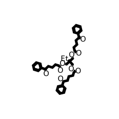 CCC(COC(=O)CCCC(=O)c1ccccc1)(COC(=O)CCCC(=O)c1ccccc1)COC(=O)CCCC(=O)c1ccccc1